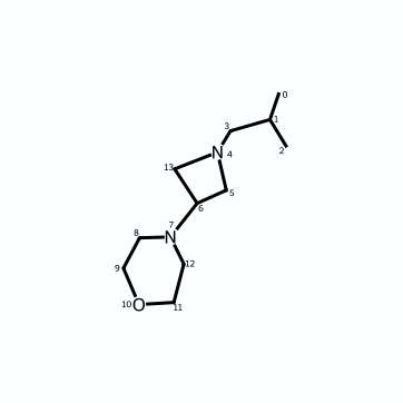 CC(C)CN1CC(N2CCOCC2)C1